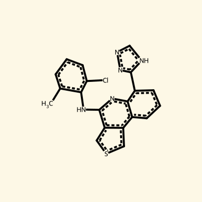 Cc1cccc(Cl)c1Nc1nc2c(-c3nnc[nH]3)cccc2c2cscc12